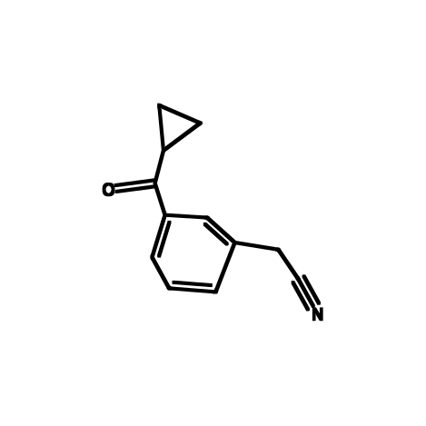 N#CCc1cccc(C(=O)C2CC2)c1